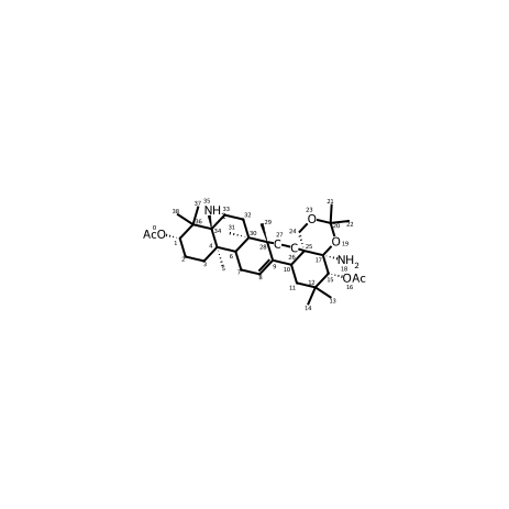 CC(=O)O[C@H]1CC[C@]2(C)C3CC=C4C5CC(C)(C)[C@@H](OC(C)=O)[C@]6(N)OC(C)(C)OC[C@@]56CC[C@@]4(C)[C@]3(C)CC[C@@]2(N)C1(C)C